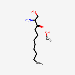 CCCCCCCCCCCCCCCCCC(=O)C(N)CO.O=[N+]([O-])O